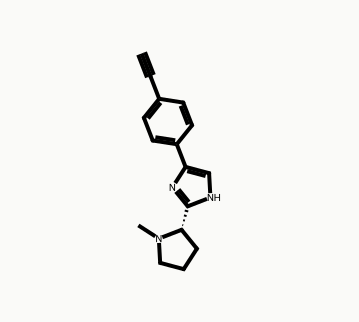 C#Cc1ccc(-c2c[nH]c([C@@H]3CCCN3C)n2)cc1